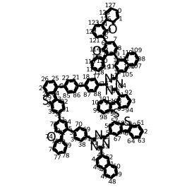 C1=CC2Oc3c(-c4ccc(-c5cc(-c6nc(-c7ccc(-c8ccc(-c9cccc%10sc%11cc(-c%12cc(-c%13ccc(-c%14nc(-c%15ccc%16ccccc%16c%15)nc(-c%15ccc%16sc%17ccccc%17c%16c%15)n%14)cc%13)c%13c(c%12)oc%12ccccc%12%13)ccc%11c9%10)cc8)cc7)nc(-c7cccc8sc9ccccc9c78)n6)cc6ccccc56)c5c4oc4ccccc45)cccc3C2C=C1